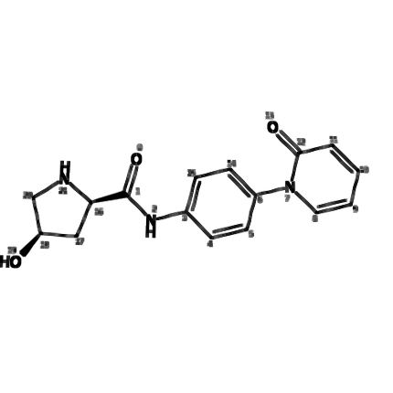 O=C(Nc1ccc(-n2ccccc2=O)cc1)[C@H]1C[C@@H](O)CN1